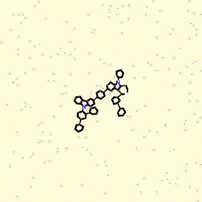 C=C(c1cccc(-c2ccccc2)c1)c1c(/C=C\C)n(-c2ccccc2)c2ccc(-c3ccc(-c4ccc5c(c4)c4ccccc4n5-c4ccc(-c5ccccc5)cc4-c4ccccc4)cc3)cc12